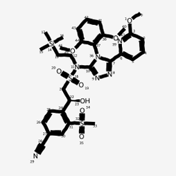 COc1cccc(-c2nnc(N(CC[Si](C)(C)C)S(=O)(=O)C[C@@H](O)c3ccc(C#N)cc3S(C)(=O)=O)n2-c2c(OC)cccc2OC)n1